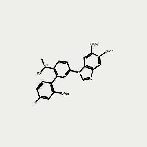 COc1cc2ncn(-c3ccc([C@H](C)O)c(-c4ccc(F)cc4OC)n3)c2cc1OC